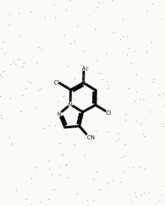 CC(=O)c1cc(Cl)c2c(C#N)cnn2c1Cl